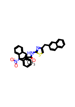 CC1(C(=O)Nc2nc(Cc3ccc4ccccc4c3)cs2)CC2([N+](=O)[O-])c3ccccc3C1c1ccccc12